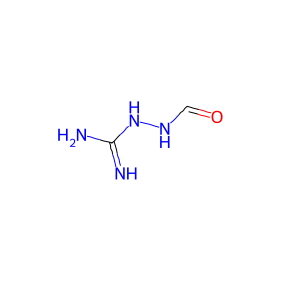 N=C(N)NNC=O